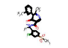 CC1=NC=C(C(=O)NC(c2ccc(S(C)(=O)=O)cc2F)C(C)C)C(=O)C1c1cccc(C(F)(F)F)c1